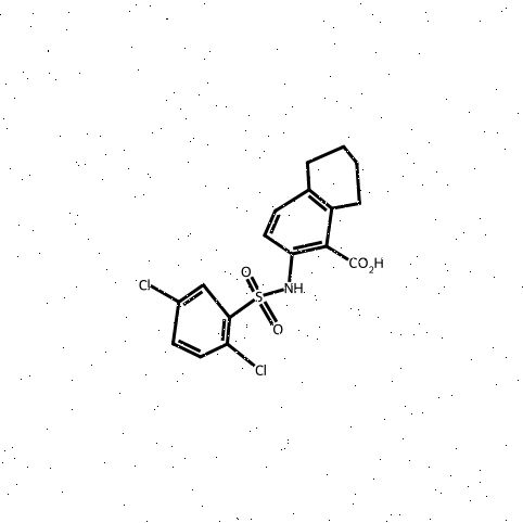 O=C(O)c1c(NS(=O)(=O)c2cc(Cl)ccc2Cl)ccc2c1CCCC2